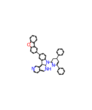 C1=C(c2ccccc2)N=C(N2c3ccc(-c4ccc5oc6ccccc6c5c4)cc3C3=c4cnccc4=CNC32)CC1c1ccccc1